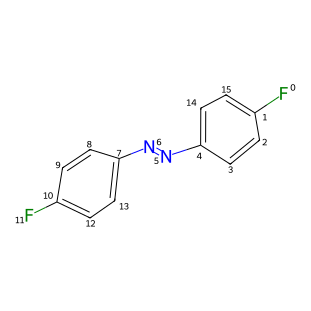 Fc1ccc(N=Nc2ccc(F)cc2)cc1